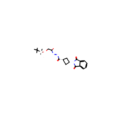 C[C@@H](O[Si](C)(C)C(C)(C)C)C(O)NNC(=O)[C@H]1C[C@H](N2C(=O)c3ccccc3C2=O)C1